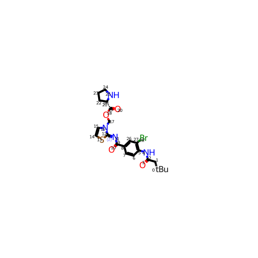 CC(C)(C)CC(=O)Nc1ccc(C(=O)/N=c2\sccn2COC(=O)[C@@H]2CCCN2)cc1Br